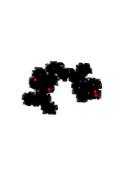 c1ccc(-c2nc(-c3ccc4c(c3)sc3cccc(-c5cccc6c5-c5ccccc5C65c6ccccc6Sc6c(-c7cc(-c8ccccn8)nc(-c8ccccc8)n7)cccc65)c34)cc(-c3cccc4c3Sc3ccccc3C43c4ccccc4-c4ccccc43)n2)cc1